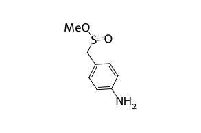 COS(=O)Cc1ccc(N)cc1